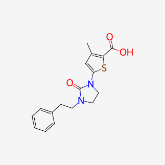 Cc1cc(N2CCN(CCc3ccccc3)C2=O)sc1C(=O)O